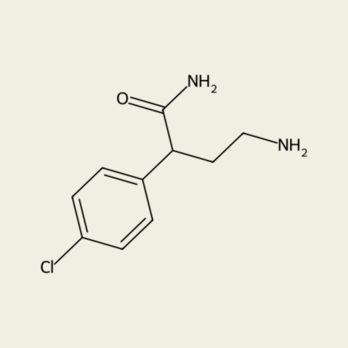 NCCC(C(N)=O)c1ccc(Cl)cc1